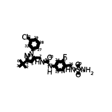 CC(C)(C)c1cc(CNC(=O)Nc2ccc(CNS(N)(=O)=O)c(F)c2)n(-c2cccc(Cl)c2)n1